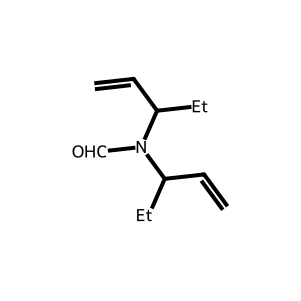 C=CC(CC)N(C=O)C(C=C)CC